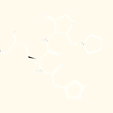 CC(C)C(C)CC[C@H](NC(=O)Oc1ccoc1)C(=O)NC1C(=O)COC1CN1CCCC1